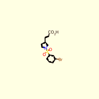 O=C(O)C=Cc1ccn(S(=O)(=O)c2cccc(Br)c2)c1